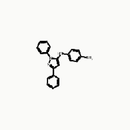 Nc1ccc(Nc2cc(-c3ccccc3)nn2-c2ccccc2)cc1